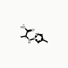 Cc1cnn(NC(C)C(=O)O)c1